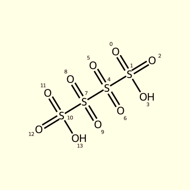 O=S(=O)(O)S(=O)(=O)S(=O)(=O)S(=O)(=O)O